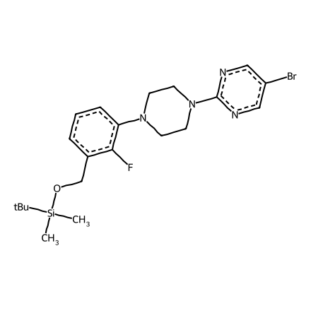 CC(C)(C)[Si](C)(C)OCc1cccc(N2CCN(c3ncc(Br)cn3)CC2)c1F